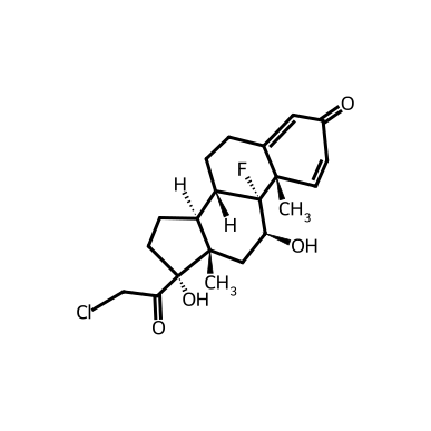 C[C@]12C=CC(=O)C=C1CC[C@H]1[C@@H]3CC[C@](O)(C(=O)CCl)[C@@]3(C)C[C@H](O)[C@@]12F